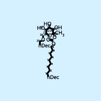 CCCCCCCCCCCCCCCCCCCOC(=O)OC1(C)O[C@H](COCCCCCCCCCCC)[C@@H](O)[C@H](O)[C@H]1O